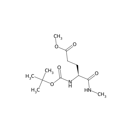 CNC(=O)[C@H](CCC(=O)OC)NC(=O)OC(C)(C)C